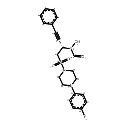 O=CN(O)[C@@H](C#Cc1ccccc1)CS(=O)(=O)N1CCN(c2ccc(F)cc2)CC1